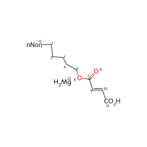 CCCCCCCCCCCCCCOC(=O)C=CC(=O)O.[MgH2]